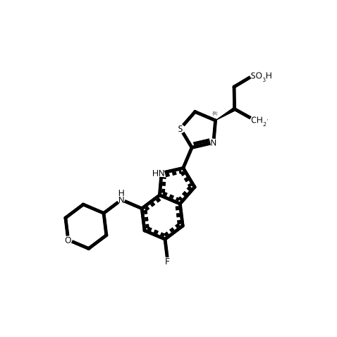 [CH2]C(CS(=O)(=O)O)[C@@H]1CSC(c2cc3cc(F)cc(NC4CCOCC4)c3[nH]2)=N1